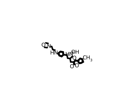 Cc1ccc2oc(=O)c(CC(CCc3ccc(NCCCN4CCOCC4)cc3)C(=O)NO)cc2c1